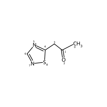 CC(=O)Cc1ncns1